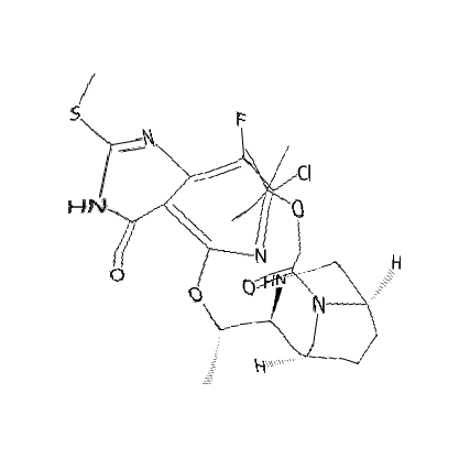 CSc1nc2c(F)c(Cl)nc(O[C@@H](C)[C@H]3NC[C@H]4CC[C@@H]3N4C(=O)OC(C)(C)C)c2c(=O)[nH]1